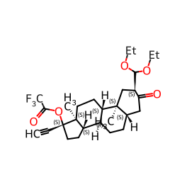 C#C[C@]1(OC(=O)C(F)(F)F)CC[C@H]2[C@@H]3CC[C@H]4CC(=O)[C@H](C(OCC)OCC)C[C@]4(C)[C@H]3CC[C@@]21C